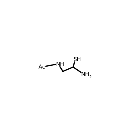 CC(=O)NCC(N)S